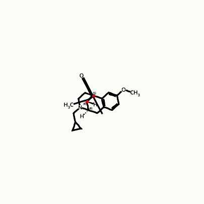 COc1ccc2c(c1)[C@]13CCN(CC4CC4)[C@H](C2)[C@@H]1C(C)CC(=O)C3